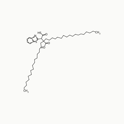 CCCCCCCCCCCCCCCCCCC(CCCCCCCCCCCCCCCCCC)(C(=O)O)C(C(=O)S)c1nc2ccccc2s1